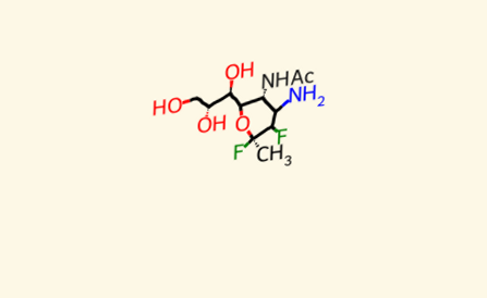 CC(=O)N[C@@H]1C(N)C(F)[C@@](C)(F)OC1[C@H](O)[C@H](O)CO